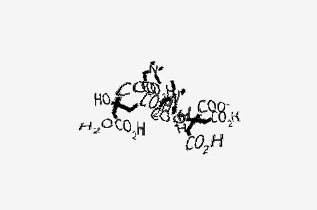 C[N+](C)(C)CC(=O)O.C[N+](C)(C)CC(=O)O.O.O=C(O)CC(O)(CC(=O)O)C(=O)[O-].O=C(O)CC(O)(CC(=O)O)C(=O)[O-]